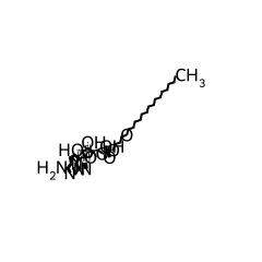 CCCCCCCCCCCCCCCCOCCCOP(=O)(O)OC[C@H]1O[C@@](C#N)(c2ccc3c(N)ncnn23)[C@H](O)[C@@H]1O